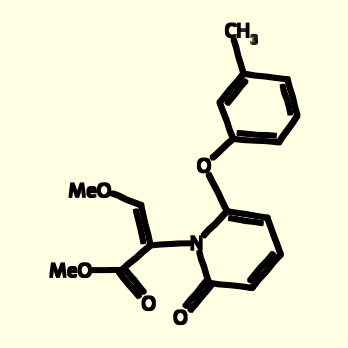 COC=C(C(=O)OC)n1c(Oc2cccc(C)c2)cccc1=O